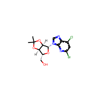 CC1(C)O[C@@H]2[C@H](O1)[C@@H](CO)O[C@H]2n1cnc2c(Cl)cc(Br)nc21